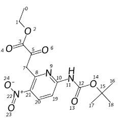 CCOC(=O)C(=O)Cc1nc(NC(=O)OC(C)(C)C)ccc1[N+](=O)[O-]